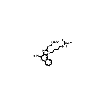 COCCc1nc2c(N)nc3ccccc3c2n1CCCCNC(=O)C(C)C